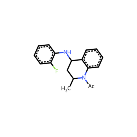 CC(=O)N1c2ccccc2C(Nc2ccccc2F)CC1C